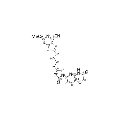 COc1cc2c(c(C#N)n1)CC(CNCCC1CN(c3ccc4c(n3)NC(=O)CO4)C(=O)O1)C2